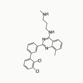 CNCCCNc1nc(-c2cccc(-c3cccc(Cl)c3Cl)c2)nc2c(C)cccc12